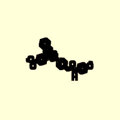 COC(=O)c1ccc(N(C[C@@H](C)N2CCC(CC(=O)Nc3ccc(OC)cc3)CC2)S(=O)(=O)Cc2ccccc2)cc1